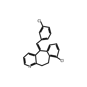 Clc1cccc(/C=C2/c3cccnc3CCc3c(Cl)cccc32)c1